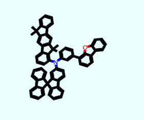 CC1(C)c2ccccc2-c2cc3c(cc21)-c1cccc(N(c2cccc(-c4cccc5c4oc4ccccc45)c2)c2ccc4c(c2)C2(c5ccccc5-c5ccccc52)c2ccccc2-4)c1C3(C)C